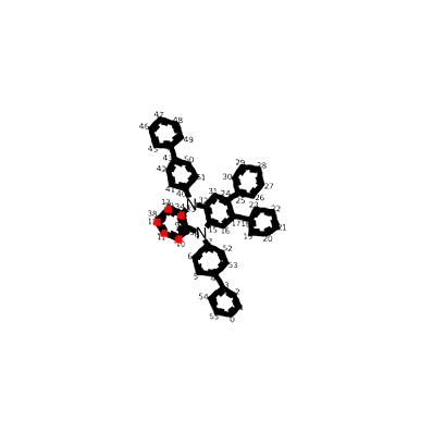 c1ccc(-c2ccc(N(c3ccccc3)c3cc(-c4ccccc4)c(-c4ccccc4)cc3N(c3ccccc3)c3ccc(-c4ccccc4)cc3)cc2)cc1